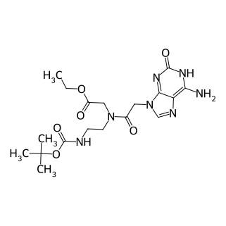 CCOC(=O)CN(CCNC(=O)OC(C)(C)C)C(=O)Cn1cnc2c(N)[nH]c(=O)nc21